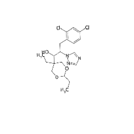 CCC1OCC(CC)(C(O)C(Cc2ccc(Cl)cc2Cl)n2cncn2)CO1